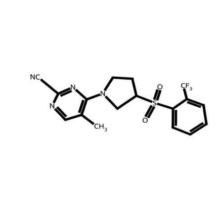 Cc1cnc(C#N)nc1N1CCC(S(=O)(=O)c2ccccc2C(F)(F)F)C1